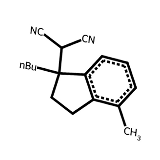 CCCCC1(C(C#N)C#N)CCc2c(C)cccc21